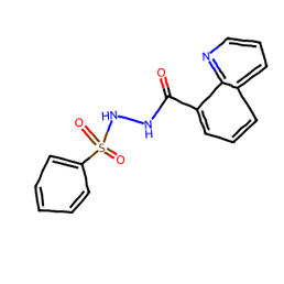 O=C(NNS(=O)(=O)c1ccccc1)c1cccc2cccnc12